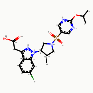 CC(C)Oc1ncc(S(=O)(=O)N2C[C@@H](C)[C@@H](n3nc(CC(=O)O)c4ccc(F)cc43)C2)cn1